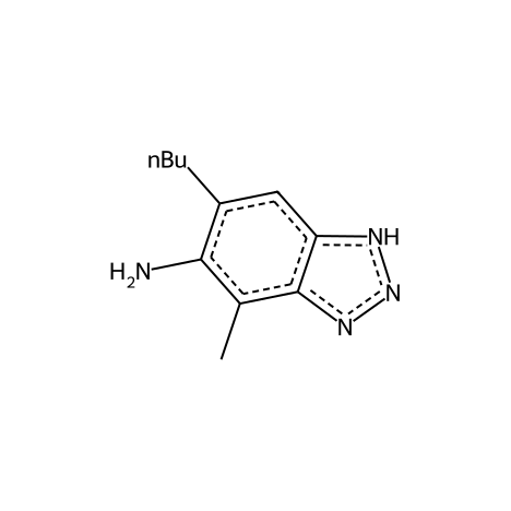 CCCCc1cc2[nH]nnc2c(C)c1N